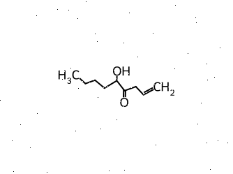 C=CCC(=O)C(O)CCCC